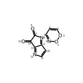 C1=COON=C1.O=c1nc2ccnc-2c1=O